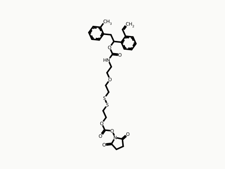 C=Cc1ccccc1C(Cc1ccccc1C)OC(=O)NCCOCCSSCCOC(=O)ON1C(=O)CCC1=O